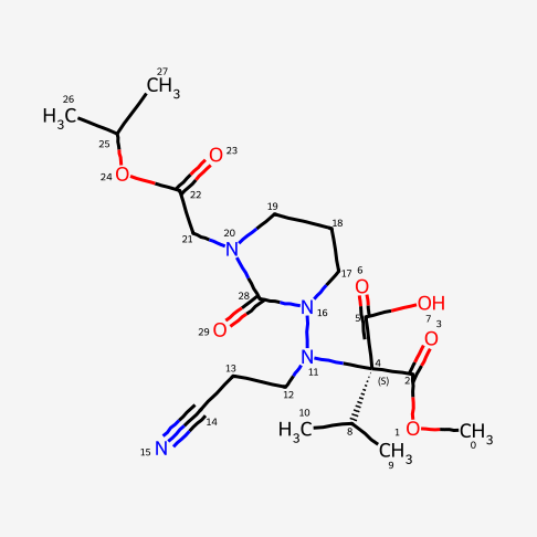 COC(=O)[C@@](C(=O)O)(C(C)C)N(CCC#N)N1CCCN(CC(=O)OC(C)C)C1=O